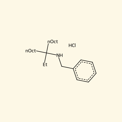 CCCCCCCCC(CC)(CCCCCCCC)NCc1ccccc1.Cl